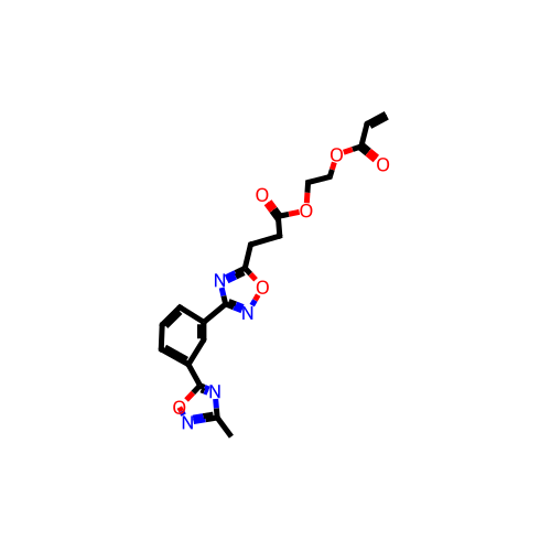 C=CC(=O)OCCOC(=O)CCc1nc(-c2cccc(-c3nc(C)no3)c2)no1